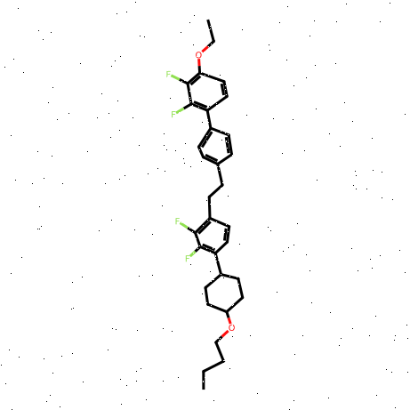 CCCCOC1CCC(c2ccc(CCc3ccc(-c4ccc(OCC)c(F)c4F)cc3)c(F)c2F)CC1